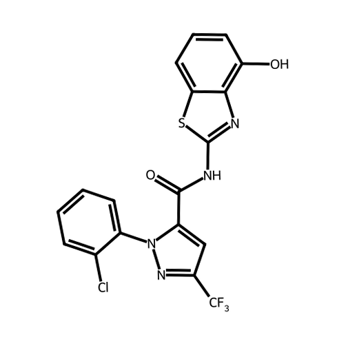 O=C(Nc1nc2c(O)cccc2s1)c1cc(C(F)(F)F)nn1-c1ccccc1Cl